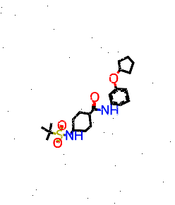 CC(C)(C)S(=O)(=O)NC1CCC(C(=O)Nc2cccc(OC3CCCC3)c2)CC1